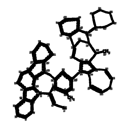 C/C=C\C(=C/CC)n1c2ccccc2c2ccc3c4ccccc4n(-c4cccc(-n5c6c(c7c5C=C5CC(C7C)N(C7CCCCC7)c7ccccc75)C=CCC=C6)c4)c3c21